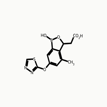 Cc1cc(Oc2nncs2)cc2c1C(CC(=O)O)OB2O